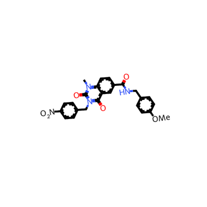 COc1ccc(CNC(=O)c2ccc3c(c2)c(=O)n(Cc2ccc([N+](=O)[O-])cc2)c(=O)n3C)cc1